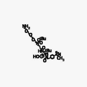 Cc1ncsc1-c1ccc(CNC(=O)[C@@H]2C[C@@H](O)CN2C(=O)[C@@H](NC(=O)CCCN(CCOCCOCCOCCN)C(=O)OC(C)(C)C)C(C)(C)C)cc1